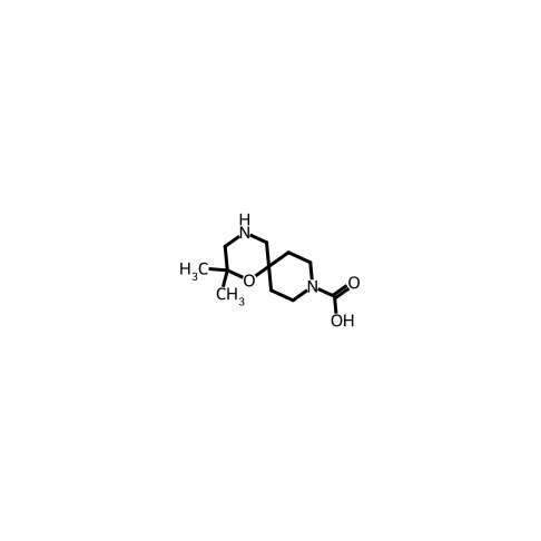 CC1(C)CNCC2(CCN(C(=O)O)CC2)O1